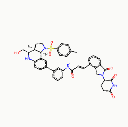 Cc1ccc(S(=O)(=O)N2CC[C@@H]3[C@H](CO)Nc4ccc(-c5cccc(NC(=O)C=Cc6cccc7c6CN(C6CCC(=O)NC6=O)C7=O)c5)cc4[C@@H]32)cc1